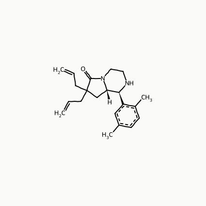 C=CCC1(CC=C)C[C@H]2[C@H](c3cc(C)ccc3C)NCCN2C1=O